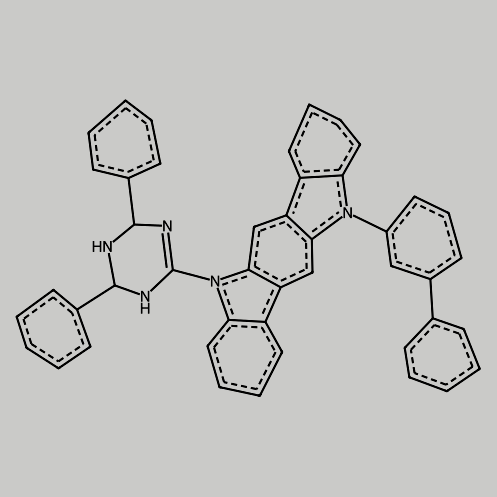 c1ccc(-c2cccc(-n3c4ccccc4c4cc5c(cc43)c3ccccc3n5C3=NC(c4ccccc4)NC(c4ccccc4)N3)c2)cc1